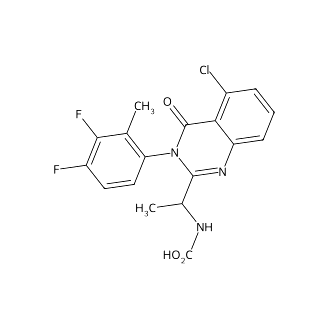 Cc1c(-n2c(C(C)NC(=O)O)nc3cccc(Cl)c3c2=O)ccc(F)c1F